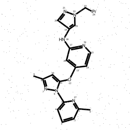 Cc1cccc(-n2nc(C)cc2Oc2ccnc(Nc3cnn(CC(C)C)c3)c2)n1